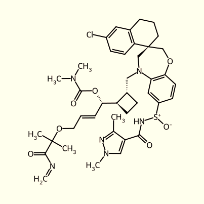 C=NC(=O)C(C)(C)OC/C=C/[C@H](OC(=O)N(C)C)[C@@H]1CC[C@H]1CN1C[C@@]2(CCCc3cc(Cl)ccc32)COc2ccc([S+]([O-])NC(=O)c3cn(C)nc3C)cc21